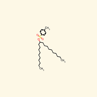 CCCCCCCCCCC(CCCCCCCCCC)OS(=O)(=O)c1ccc(C)cc1